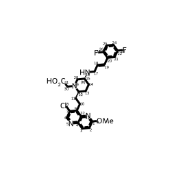 COc1ccc2ncc(Cl)c(CC[C@@H]3CC[C@@H](NCC=Cc4cc(F)ccc4F)CN3CC(=O)O)c2n1